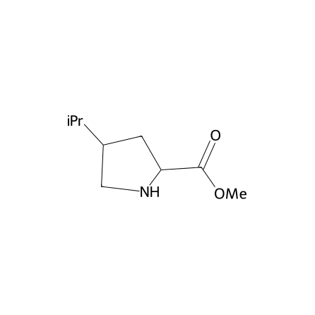 COC(=O)C1CC(C(C)C)CN1